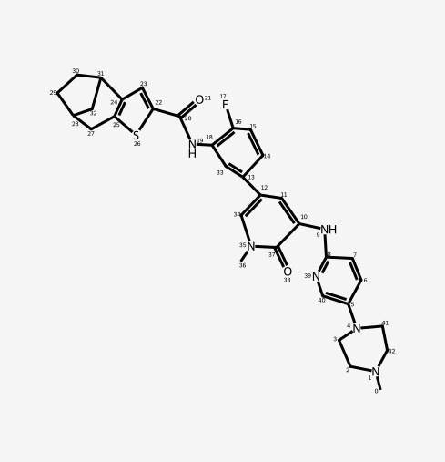 CN1CCN(c2ccc(Nc3cc(-c4ccc(F)c(NC(=O)c5cc6c(s5)CC5CCC6C5)c4)cn(C)c3=O)nc2)CC1